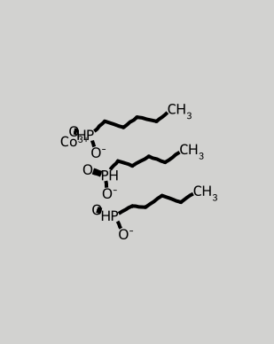 CCCCC[PH](=O)[O-].CCCCC[PH](=O)[O-].CCCCC[PH](=O)[O-].[Co+3]